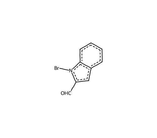 O=Cc1cc2ccccc2n1Br